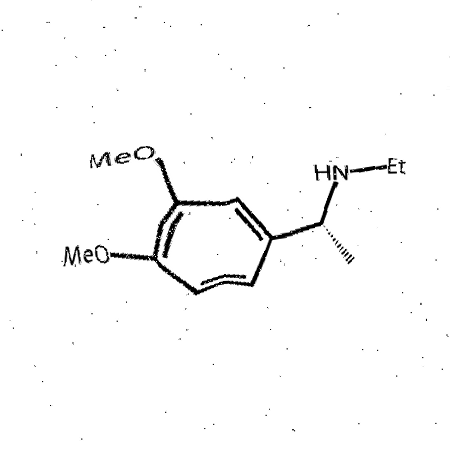 CCN[C@H](C)c1ccc(OC)c(OC)c1